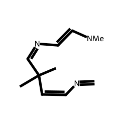 C=N/C=C\C(C)(C)/C=N\C=CNC